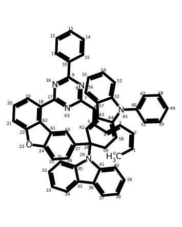 C\C=C/C=C/C=C/c1nc(-c2ccccc2)nc(-c2cccc3oc4ccc(C5(n6c7ccccc7c7ccccc76)C=c6c(n(-c7ccccc7)c7ccccc67)=CC5)cc4c23)n1